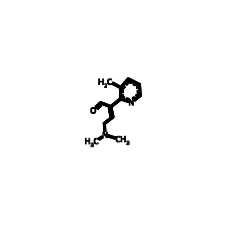 Cc1cccnc1C(C=O)=CCN(C)C